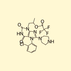 CC(Cn1c(=O)[nH]c(=O)c2c1nc(N1CCNCC1)n2-c1ccccc1Cl)OC(=O)C(F)(F)F